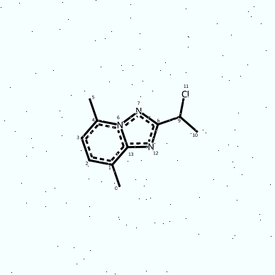 Cc1ccc(C)n2nc(C(C)Cl)nc12